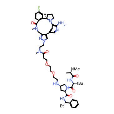 CC[C@H](NC(=O)[C@H]1C[C@@H](NCCOCCOCCC(=O)N(C)CCn2cc3c(n2)CN(C)C(=O)c2ccc(F)cc2[C@H]2CCCN2c2cc-3cnc2N)CN1C(=O)[C@H](NC(=O)[C@@H](C)NC)C(C)(C)C)c1ccccc1